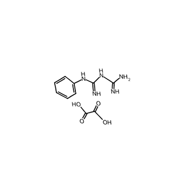 N=C(N)NC(=N)Nc1ccccc1.O=C(O)C(=O)O